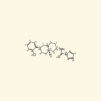 O=C(N[C@H]1CCN2C[C@H](c3ccccc3Cl)CC[C@H]2C1)n1ccnc1